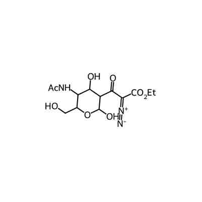 CCOC(=O)C(=[N+]=[N-])C(=O)C1C(O)OC(CO)C(NC(C)=O)C1O